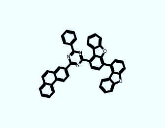 c1ccc(-c2nc(-c3ccc4c(ccc5ccccc54)c3)nc(-c3ccc(-c4cccc5oc6ccccc6c45)c4oc5ccccc5c34)n2)cc1